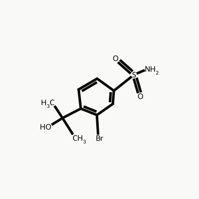 CC(C)(O)c1ccc(S(N)(=O)=O)cc1Br